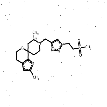 Cc1cc2c(s1)C1(CCN(Cc3cn(CCS(C)(=O)=O)nn3)[C@@H](C)C1)OCC2